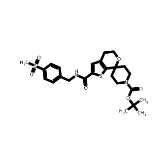 CC(C)(C)OC(=O)N1CCC2(CC1)OCCc1cc(C(=O)NCc3ccc(S(C)(=O)=O)cc3)sc12